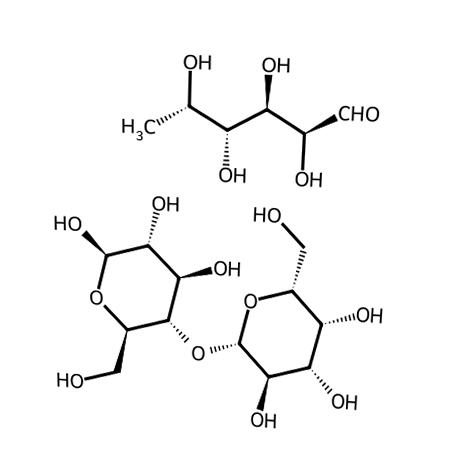 C[C@H](O)[C@@H](O)[C@@H](O)[C@H](O)C=O.OC[C@H]1O[C@@H](O[C@H]2[C@H](O)[C@@H](O)[C@H](O)O[C@@H]2CO)[C@H](O)[C@@H](O)[C@H]1O